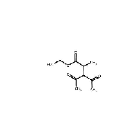 CCOC(=O)C(C)C(C(C)=O)C(C)=O